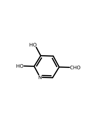 O=Cc1cnc(O)c(O)c1